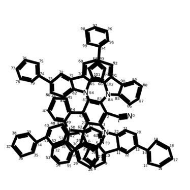 N#Cc1c(-n2c3ccccc3c3cc(-c4ccccc4)ccc32)c(-n2c3ccccc3c3cc(-c4ccccc4)ccc32)c(-c2ccccc2-n2c3ccccc3c3cnccc32)c(-n2c3ccccc3c3cc(-c4ccccc4)ccc32)c1-n1c2ccccc2c2cc(-c3ccccc3)ccc21